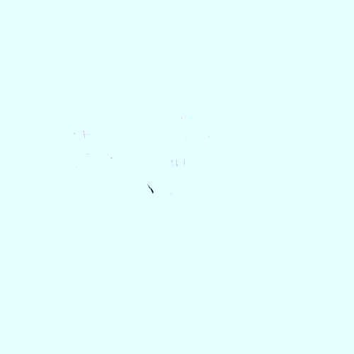 CCOC(=O)[C@H]1CN(C(=O)O)CC[C@@H]1NC(=O)OCc1ccccc1